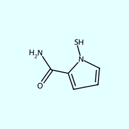 NC(=O)c1cccn1S